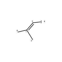 CC(C)=CI